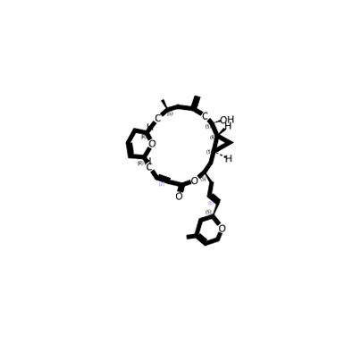 C=C1C[C@H](C)C[C@@H]2CC=C[C@@H](C/C=C\C(=O)O[C@H](C/C=C/[C@@H]3CC(C)=CCO3)C[C@@H]3C[C@H]3[C@@H](O)C1)O2